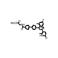 COC(=O)CNC(=O)c1ccc(-c2ccc(C(C/C(=N\O)c3ccc(=O)[nH]c3C)c3ccc(F)cc3C)cc2)cc1